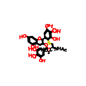 CC(=O)NC(CSc1c([C@@H]2Oc3cc(O)cc(O)c3C[C@H]2OC(=O)c2cc(O)c(O)c(O)c2)cc(O)c(O)c1O)C(=O)O